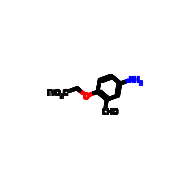 CCOC(=O)COc1ccc(N)cc1C=O